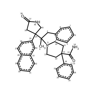 CC(Cc1ccccc1)(N1CCC(C(N)=O)(c2ccccc2)CC1)C1(c2ccc3ccccc3c2)CNC(=O)C1